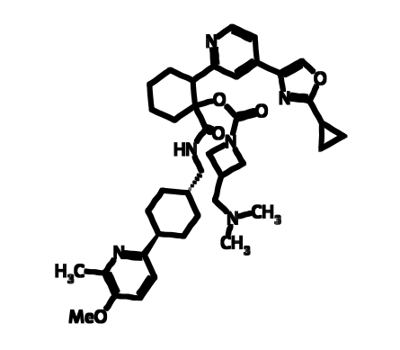 COc1ccc([C@H]2CC[C@H](CNC(=O)C3(OC(=O)N4CC(CN(C)C)C4)CCCCC3c3cc(-c4coc(C5CC5)n4)ccn3)CC2)nc1C